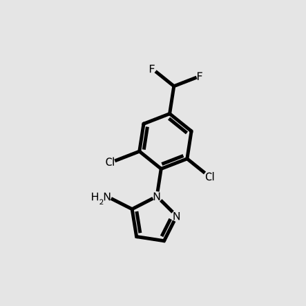 Nc1ccnn1-c1c(Cl)cc(C(F)F)cc1Cl